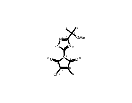 COC(C)(C)c1nsc(N2C(=O)C(C)=C(Cl)C2=O)n1